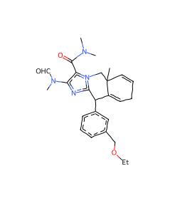 CCOCc1cccc(C2C3=CCC=CC3(C)Cn3c2nc(N(C)C=O)c3C(=O)N(C)C)c1